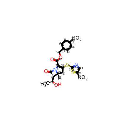 C[C@H](O)[C@@H]1C(=O)N2C(C(=O)OCc3ccc([N+](=O)[O-])cc3)=C(Sc3ncc([N+](=O)[O-])s3)C[C@H]12